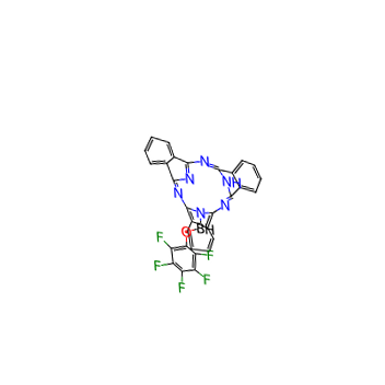 Fc1c(F)c(F)c(OBn2c3nc4nc(nc5[nH]c(nc2c2ccccc23)c2ccccc52)-c2ccccc2-4)c(F)c1F